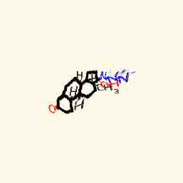 C[C@]12CC[C@H]3[C@@H](CCC4=CC(=O)CC[C@@H]43)[C@@H]1CC[C@@]2(O)N=[N+]=[N-]